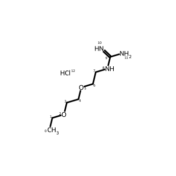 CCOCCOCCNC(=N)N.Cl